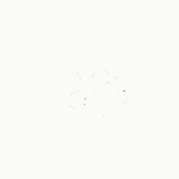 Cc1ccc(C)c2c1[nH]c1c(N(C)S(=O)(=O)c3ccc(Cl)s3)cccc12